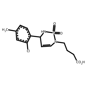 Cc1ccc(C2C=CN(CCCC(=O)O)S(=O)(=O)N2)c(Cl)c1